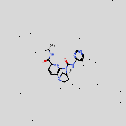 C[C@@H](NC(=O)C1C=CC2=C(N1)N(C(=O)Nc1ccncn1)[C@H]1CCN2C1)C(F)(F)F